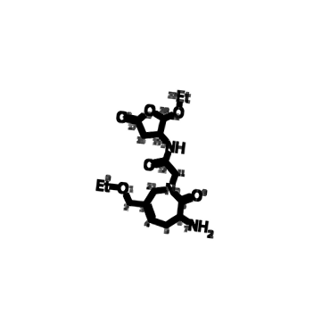 CCOCC1=CCC(N)C(=O)N(CC(=O)NC2CC(=O)OC2OCC)C1